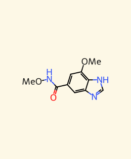 CONC(=O)c1cc(OC)c2[nH]cnc2c1